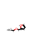 CCCCCOCc1ccco1